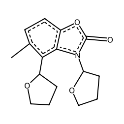 Cc1ccc2oc(=O)n(C3CCCO3)c2c1C1CCCO1